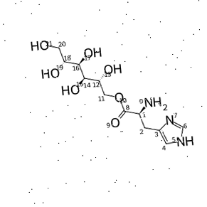 N[C@@H](Cc1c[nH]cn1)C(=O)OC[C@@H](O)[C@@H](O)[C@H](O)[C@H](O)CO